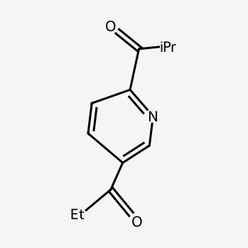 CCC(=O)c1ccc(C(=O)C(C)C)nc1